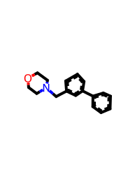 c1ccc(-c2cccc(CN3CCOCC3)c2)cc1